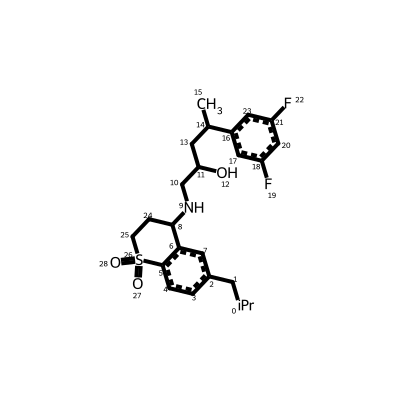 CC(C)Cc1ccc2c(c1)C(NCC(O)CC(C)c1cc(F)cc(F)c1)CCS2(=O)=O